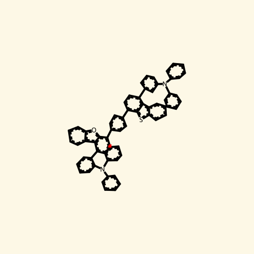 c1ccc(N(c2ccccc2)c2cccc(-c3ccc(-c4ccc(-c5ccc(-c6ccccc6N(c6ccccc6)c6ccccc6)c6c5oc5ccccc56)cc4)c4sc5ccccc5c34)c2)cc1